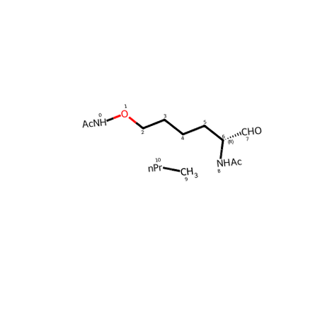 CC(=O)NOCCCC[C@H](C=O)NC(C)=O.CCCC